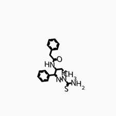 CCC(NC(=O)Cc1ccccc1)/C(=N\NC(N)=S)c1ccccc1